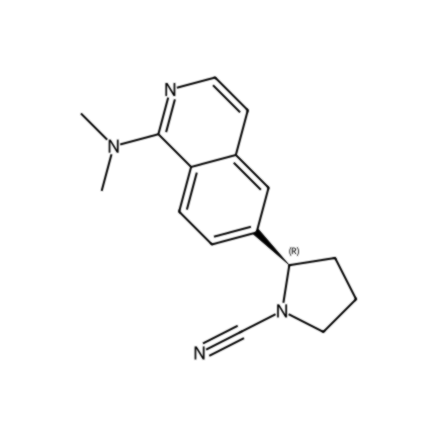 CN(C)c1nccc2cc([C@H]3CCCN3C#N)ccc12